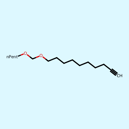 C#CCCCCCCCCOCOCCCCC